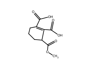 COC(=O)C1CCCC(C(=O)O)=C1C(=O)O